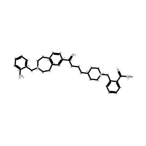 COC(=O)c1ccccc1CN1CCC(CCCC(=O)c2ccc3c(c2)CCN(Cc2ccccc2C)CC3)CC1